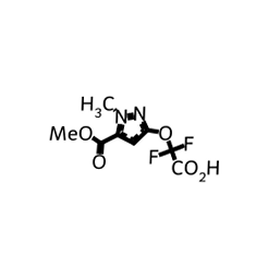 COC(=O)c1cc(OC(F)(F)C(=O)O)nn1C